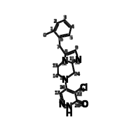 Cc1ccccc1Cc1cnc2n1CCN(c1cn[nH]c(=O)c1Cl)C2